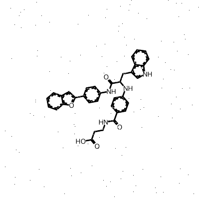 O=C(O)CCNC(=O)c1ccc(NC(Cc2c[nH]c3ccccc23)C(=O)Nc2ccc(-c3cc4ccccc4o3)cc2)cc1